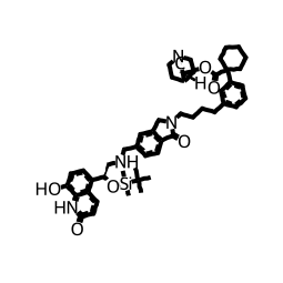 CC(C)(C)[Si](C)(C)O[C@H](CNCc1ccc2c(c1)CN(CCCCc1cccc(C3(C(=O)O[C@H]4CN5CCC4CC5)CCCCC3)c1)C2=O)c1ccc(O)c2[nH]c(=O)ccc12